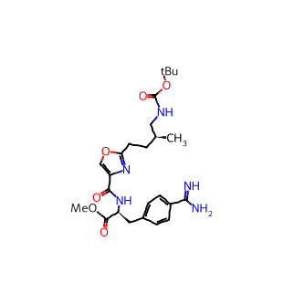 COC(=O)[C@H](Cc1ccc(C(=N)N)cc1)NC(=O)c1coc(CC[C@H](C)CNC(=O)OC(C)(C)C)n1